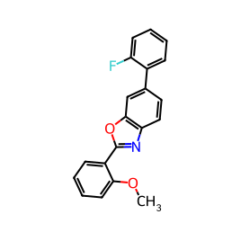 COc1ccccc1-c1nc2ccc(-c3ccccc3F)cc2o1